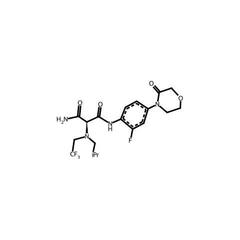 CC(C)CN(CC(F)(F)F)[C@@H](C(N)=O)C(=O)Nc1ccc(N2CCOCC2=O)cc1F